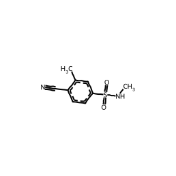 CNS(=O)(=O)c1ccc(C#N)c(C)c1